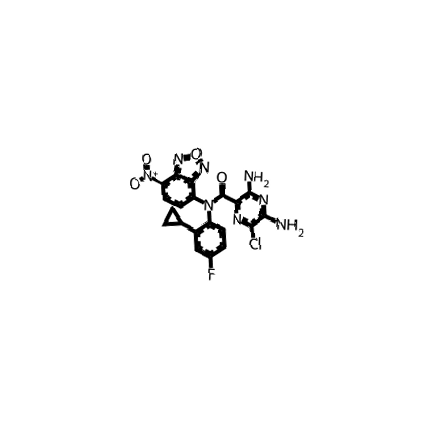 Nc1nc(N)c(C(=O)N(c2ccc(F)cc2C2CC2)c2ccc([N+](=O)[O-])c3nonc23)nc1Cl